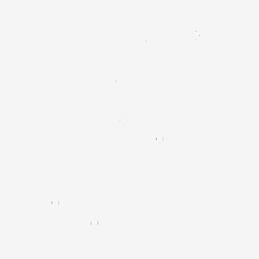 COC(=O)c1ccc(OC(=O)c2ccc(OC)c(OC)c2OC)cc1